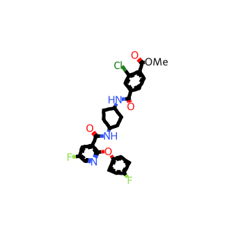 COC(=O)c1ccc(C(=O)NC2CCC(NC(=O)c3cc(F)cnc3Oc3ccc(F)cc3)CC2)cc1Cl